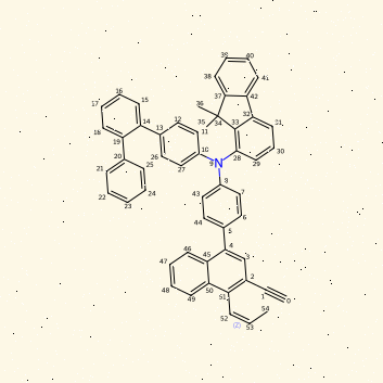 C#Cc1cc(-c2ccc(N(c3ccc(-c4ccccc4-c4ccccc4)cc3)c3cccc4c3C(C)(C)c3ccccc3-4)cc2)c2ccccc2c1/C=C\C